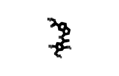 COC(=O)c1ccc2c(c1)C(NC(=O)c1cc(C)c(OC)cc1C)CC2